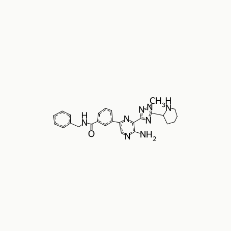 Cn1nc(-c2nc(-c3cccc(C(=O)NCc4ccccc4)c3)cnc2N)nc1C1CCCCN1